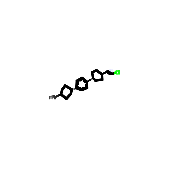 CCC[C@H]1CC[C@H](c2ccc([C@H]3CC[C@H](/C=C/Cl)CC3)cc2)CC1